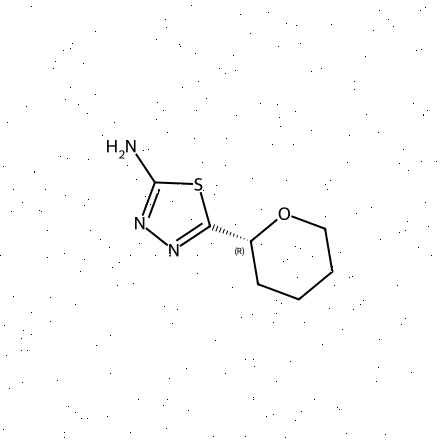 Nc1nnc([C@H]2CCCCO2)s1